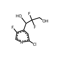 OCC(F)(F)C(O)c1cc(Cl)ncc1F